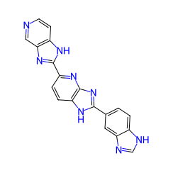 c1cc2[nH]c(-c3ccc4[nH]c(-c5ccc6[nH]cnc6c5)nc4n3)nc2cn1